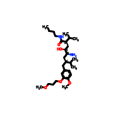 CCCCNC(=O)[C@@H](C[C@H](O)[C@@H](N)C[C@H](Cc1ccc(OC)c(OCCCOC)c1)C(C)C)C(C)C